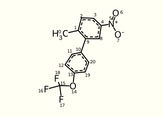 Cc1ccc([N+](=O)[O-])cc1-c1ccc(OC(F)(F)F)cc1